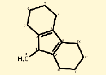 CC1C2=C(CCC[C]2)C2=C1CCCC2